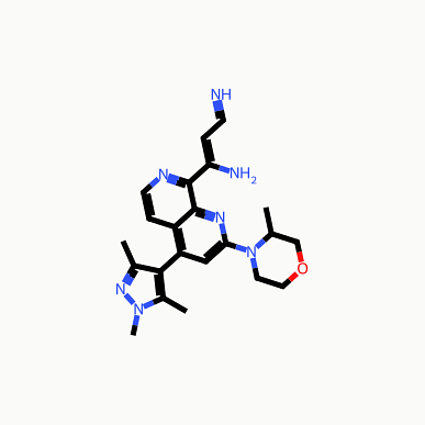 Cc1nn(C)c(C)c1-c1cc(N2CCOCC2C)nc2c(/C(N)=C/C=N)nccc12